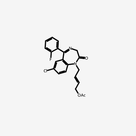 CC(=O)OCC=CCN1C(=O)CN=C(c2ccccc2F)c2cc(Cl)ccc21